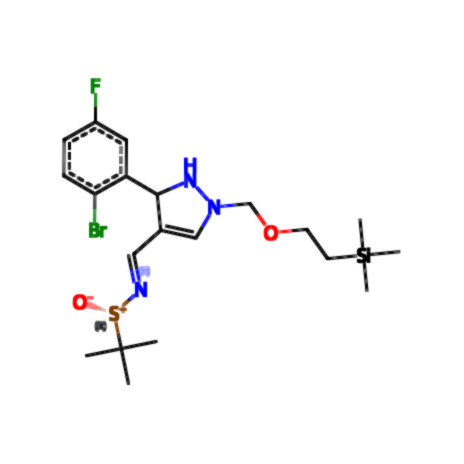 CC(C)(C)[S@+]([O-])/N=C/C1=CN(COCC[Si](C)(C)C)NC1c1cc(F)ccc1Br